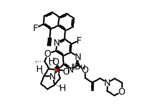 C#Cc1c(F)ccc2cccc(-c3nc4c5c(nc(OCC(=C)CN6CCOCC6)nc5c3F)N3C[C@H]5CC[C@@H]([C@H]3[C@H](C)O4)N5C(=O)OC(C)(C)C)c12